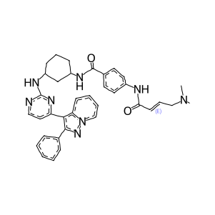 CN(C)C/C=C/C(=O)Nc1ccc(C(=O)NC2CCCC(Nc3nccc(-c4c(-c5ccccc5)nn5ccccc45)n3)C2)cc1